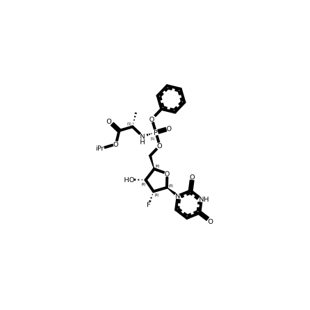 CC(C)OC(=O)[C@H](C)N[P@](=O)(OC[C@H]1O[C@@H](n2ccc(=O)[nH]c2=O)[C@H](F)[C@@H]1O)Oc1ccccc1